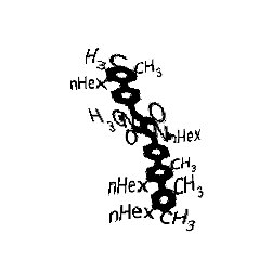 CCCCCCc1cc(-c2cc(C)c(-c3ccc(C4=C5C(=O)N(C)C(c6ccc(-c7cc(C)c(C)cc7CCCCCC)cc6)=C5C(=O)N4CCCCCC)cc3)cc2CCCCCC)c(C)cc1C